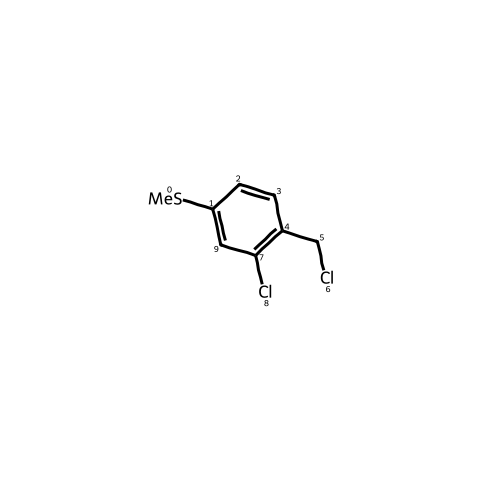 CSc1ccc(CCl)c(Cl)c1